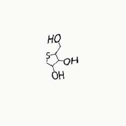 OCC1SCC(O)C1O